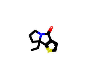 CCC12CCCN1C(=O)c1ccsc12